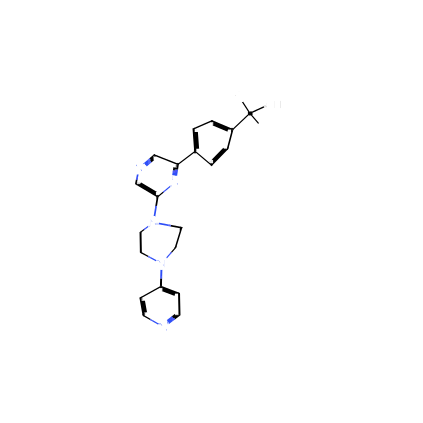 CC(C)(C)c1ccc(-c2cncc(N3CCN(c4ccncc4)CC3)n2)cc1